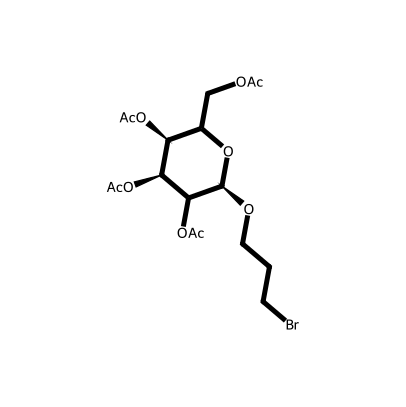 CC(=O)OCC1O[C@@H](OCCCBr)C(OC(C)=O)[C@@H](OC(C)=O)[C@H]1OC(C)=O